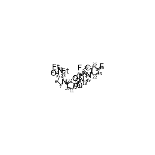 CCN(CC)C(=O)C1CCN(c2cccc(S(=O)(=O)N3CCN(c4ccc(F)cc4C(F)(F)F)C[C@H]3C)c2)C1